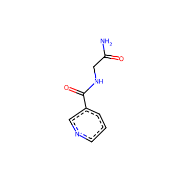 NC(=O)CNC(=O)c1cccnc1